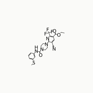 CCOC(=O)c1cc(C#N)c(N2CCN(C(=O)Nc3cccc(SC)c3)CC2)nc1C(F)(F)F